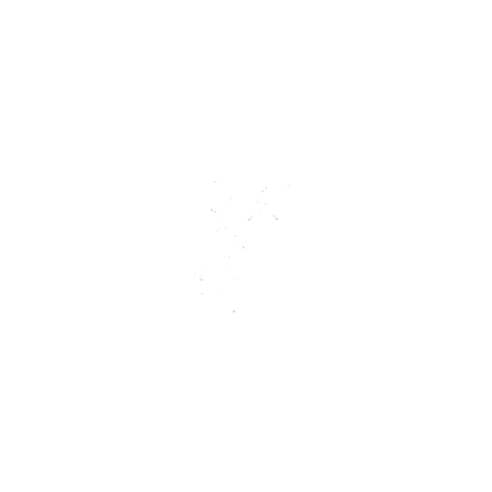 CCOC(=O)c1ncc(Nc2cccc(O)c2)c2c1C1CCC2C1